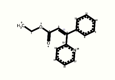 CCOC(=O)/C=C(/c1ccccc1)c1ccccn1